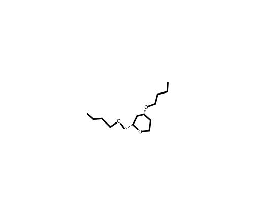 CCCCOC[C@@H]1C[C@H](OCCCC)CCO1